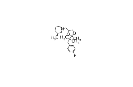 CC1CCCN(CC2COC(C)(C(C)(C)Cc3ccc(F)cc3)O2)C1